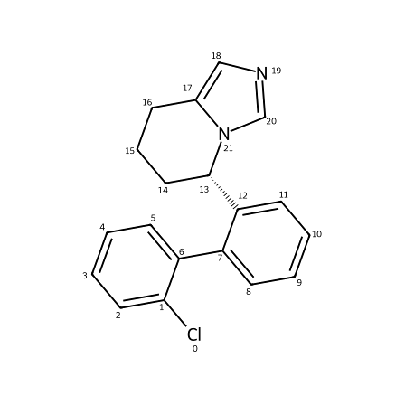 Clc1ccccc1-c1ccccc1[C@@H]1CCCc2cncn21